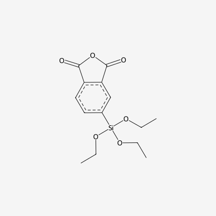 CCO[Si](OCC)(OCC)c1ccc2c(c1)C(=O)OC2=O